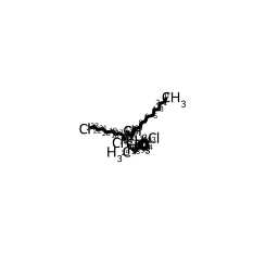 CCCCCCCCCCCC[N+](C)(C)C(Cl)CCCCCCCCl.CN(C)Cc1ccc(Cl)cc1